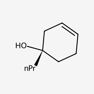 CCC[C@@]1(O)CC=CCC1